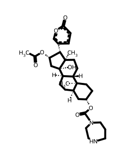 CC(=O)O[C@H]1C[C@]2(O)[C@@H]3CC[C@@H]4C[C@@H](OC(=O)N5CCCNCC5)CC[C@]4(C)[C@H]3CC[C@]2(C)[C@H]1c1ccc(=O)oc1